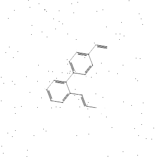 C=Cc1ccc(-c2ccccc2/C=C/C(=O)O)cc1